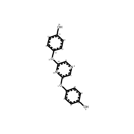 Oc1ccc(Oc2cncc(Oc3ccc(O)cc3)n2)cc1